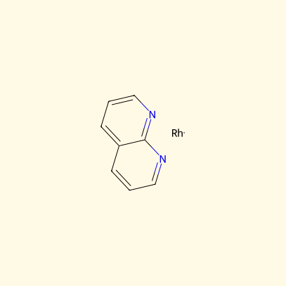 [Rh].c1cnc2ncccc2c1